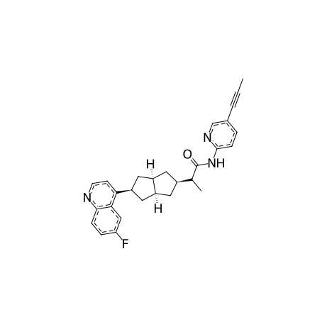 CC#Cc1ccc(NC(=O)C(C)[C@H]2C[C@H]3C[C@@H](c4ccnc5ccc(F)cc45)C[C@H]3C2)nc1